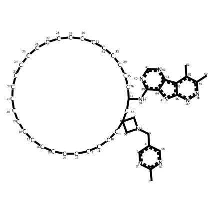 Cc1ncc(CN2CC3(CCCCCCCCCCCCCCCCCCCCCCCCCCCCC(Nc4ncnc5c4sc4nnc(C)c(C)c45)C3)C2)cn1